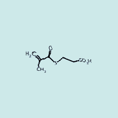 C=C(C)C(=O)SCCS(=O)(=O)O